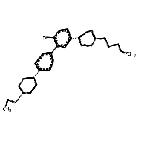 CCCCC[C@H]1CC[C@H](c2ccc(F)c(-c3ccc([C@H]4CC[C@H](CCC)CC4)cc3)c2)CC1